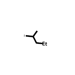 [CH]C(C)CC[CH2]